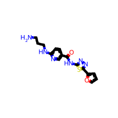 NCCCNc1ccc(C(=O)Nc2nnc(-c3ccco3)s2)cn1